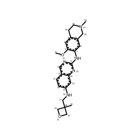 COc1cc2c(cc1Nc1ncc3ccc(NCC4(C)COC4)cc3n1)CN(C)CC2